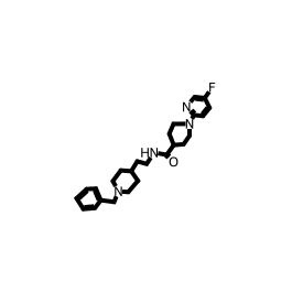 O=C(NCCC1CCN(Cc2ccccc2)CC1)C1CCN(c2ccc(F)cn2)CC1